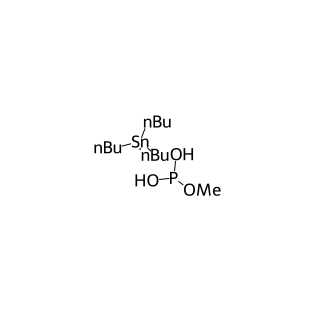 CCC[CH2][Sn]([CH2]CCC)[CH2]CCC.COP(O)O